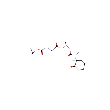 CC(OC(=O)CNC(=O)OC(C)(C)C)OC(=O)N(C)[C@]1(C)CCCCC1=O